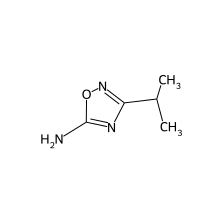 CC(C)c1noc(N)n1